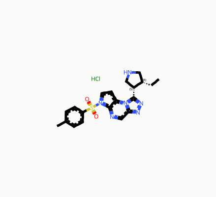 CC[C@H]1CNC[C@H]1c1nnc2cnc3c(ccn3S(=O)(=O)c3ccc(C)cc3)n12.Cl